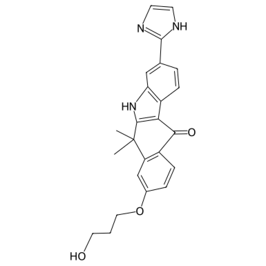 CC1(C)c2cc(OCCCO)ccc2C(=O)c2c1[nH]c1cc(-c3ncc[nH]3)ccc21